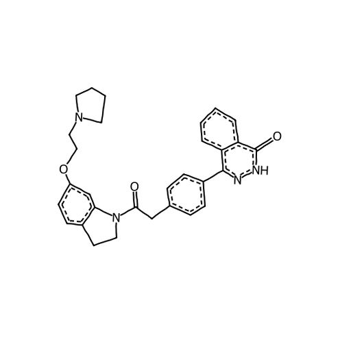 O=C(Cc1ccc(-c2n[nH]c(=O)c3ccccc23)cc1)N1CCc2ccc(OCCN3CCCC3)cc21